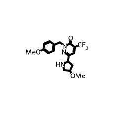 COc1ccc(Cn2nc(C3CC(OC)CN3)cc(C(F)(F)F)c2=O)cc1